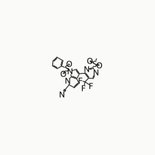 CS(=O)(=O)c1ncc(C(F)(F)F)c(-c2cn(S(=O)(=O)c3ccccc3)c3nc(C#N)ccc23)n1